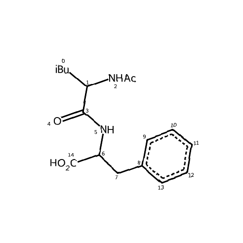 CCC(C)C(NC(C)=O)C(=O)NC(Cc1ccccc1)C(=O)O